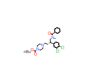 CCCCOC(=O)N1CCN(CC[C@H](CN(C)C(=O)c2ccccc2)c2ccc(Cl)c(Cl)c2)CC1